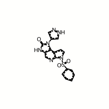 O=c1[nH]c2cnc3c(ccn3S(=O)(=O)c3ccccc3)c2n1-c1cn[nH]c1